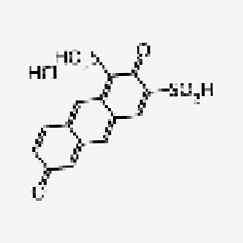 Cl.O=C1C=Cc2cc3c(cc2=C1)C=C(S(=O)(=O)O)C(=O)C=3S(=O)(=O)O